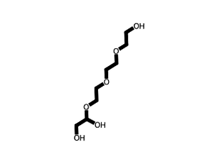 OCCOCCOCCOC(O)CO